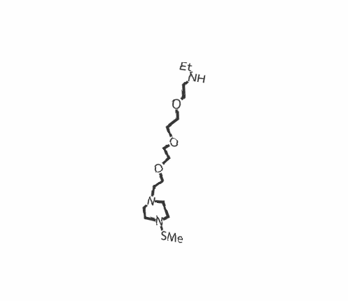 CCNCCOCCOCCOCCN1CCN(SC)CC1